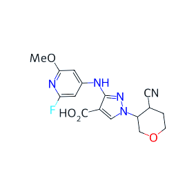 COc1cc(Nc2nn(C3COCCC3C#N)cc2C(=O)O)cc(F)n1